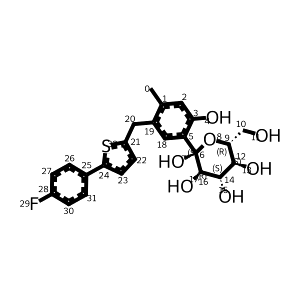 Cc1cc(O)c([C@]2(O)O[C@H](CO)[C@@H](O)[C@H](O)[C@H]2O)cc1Cc1ccc(-c2ccc(F)cc2)s1